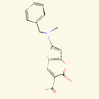 CN(Cc1ccccc1)c1cc2oc(=O)c(C(=O)O)cc2s1